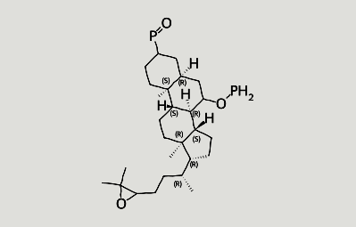 C[C@H](CCC1OC1(C)C)[C@H]1CC[C@H]2[C@@H]3C(OP)C[C@@H]4CC(P=O)CC[C@]4(C)[C@H]3CC[C@]12C